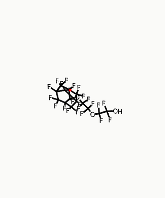 OC(F)(F)C(F)(F)OC(F)(F)C(F)(F)OC1(F)C2(F)C(F)(F)C3(F)C(F)(F)C(F)(C2(F)F)C(F)(F)C1(F)C3(F)F